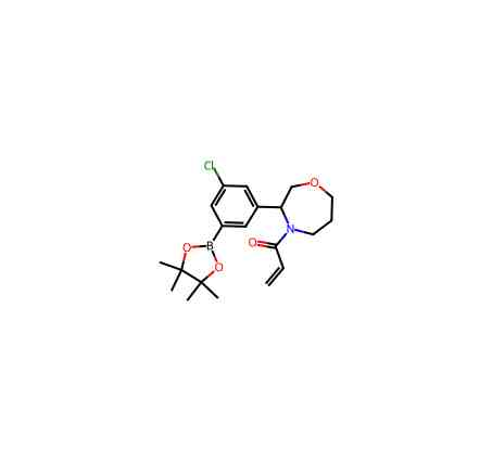 C=CC(=O)N1CCCOCC1c1cc(Cl)cc(B2OC(C)(C)C(C)(C)O2)c1